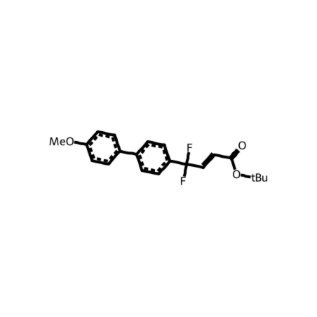 COc1ccc(-c2ccc(C(F)(F)C=CC(=O)OC(C)(C)C)cc2)cc1